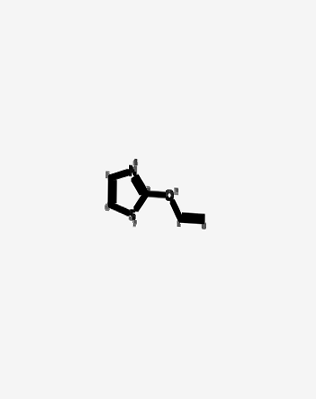 C=COc1nccs1